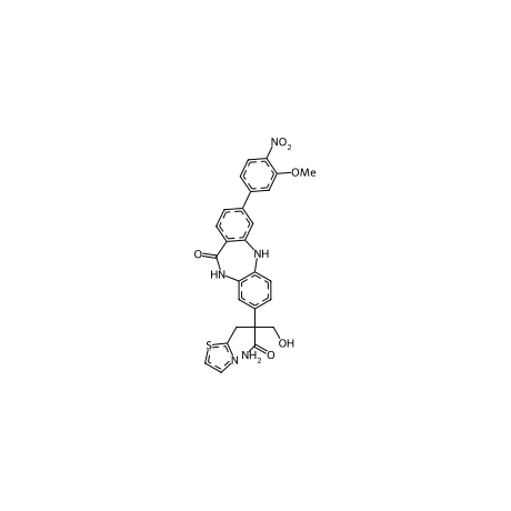 COc1cc(-c2ccc3c(c2)Nc2ccc(C(CO)(Cc4nccs4)C(N)=O)cc2NC3=O)ccc1[N+](=O)[O-]